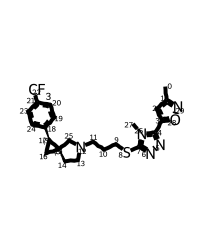 Cc1cc(-c2nnc(SCCCN3CC[C@]4(C[C@H]4c4ccc(C(F)(F)F)cc4)C3)n2C)on1